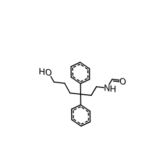 O=CNCCC(CCCO)(c1ccccc1)c1ccccc1